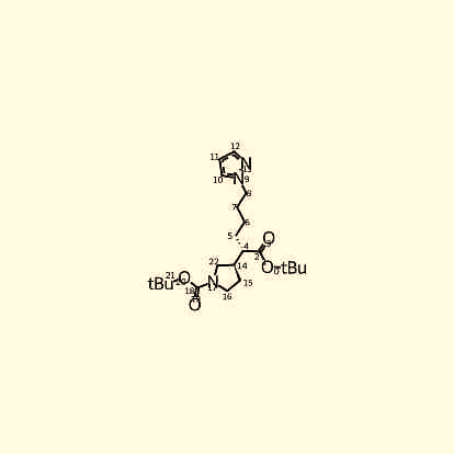 CC(C)(C)OC(=O)[C@@H](CCCCn1cccn1)[C@H]1CCN(C(=O)OC(C)(C)C)C1